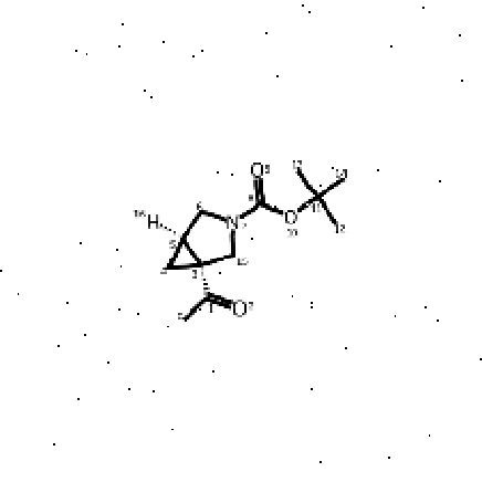 CC(=O)[C@]12C[C@H]1CN(C(=O)OC(C)(C)C)C2